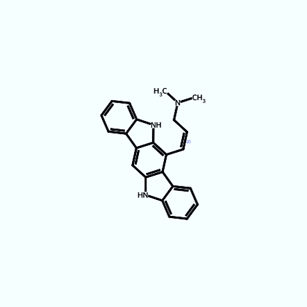 CN(C)C/C=C\c1c2[nH]c3ccccc3c2cc2[nH]c3ccccc3c12